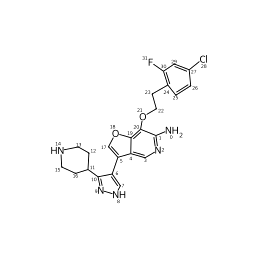 Nc1ncc2c(-c3c[nH]nc3C3CCNCC3)coc2c1OCCc1ccc(Cl)cc1F